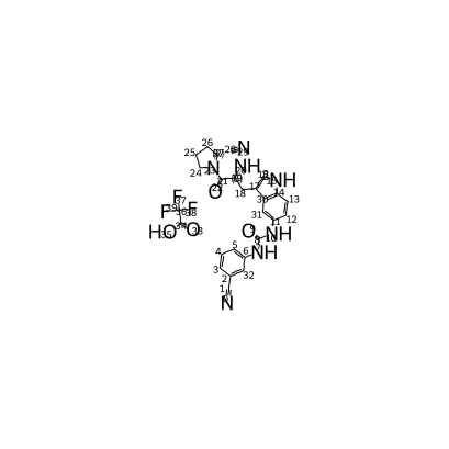 N#Cc1cccc(NC(=O)Nc2ccc3[nH]cc(C[C@H](N)C(=O)N4CCC[C@@H]4C#N)c3c2)c1.O=C(O)C(F)(F)F